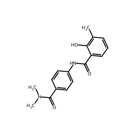 Cc1cccc(C(=O)Nc2ccc(C(=O)N(C)C)cc2)c1O